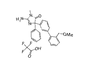 COCc1ccccc1-c1cccc(C2(c3ccccc3)N=C(N)N(C)C2=O)c1.O=C(O)C(F)(F)F